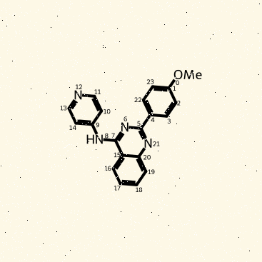 COc1ccc(-c2nc(Nc3ccncc3)c3ccccc3n2)cc1